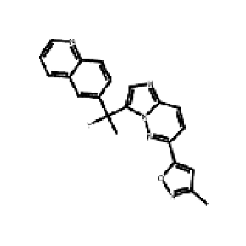 Cc1cc(-c2ccc3ncc(C(C)(F)c4ccc5ncccc5c4)n3n2)on1